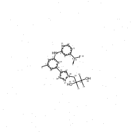 Cc1cc(Nc2cc([C@H](C)F)ccn2)nc(-c2cn(CC(C)(O)C(C)(C)O)nn2)c1